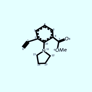 C#Cc1cccc(C(=O)OC)c1N1CCCC1